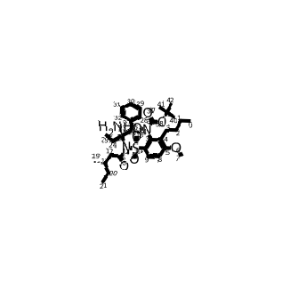 CCCCc1c(OC)ccc(S(=O)(=O)N(C(=O)C[C@@H](C)CC)[C@@](N)(CC)Cc2ccccc2)c1N(O)C(=O)OC(C)(C)C